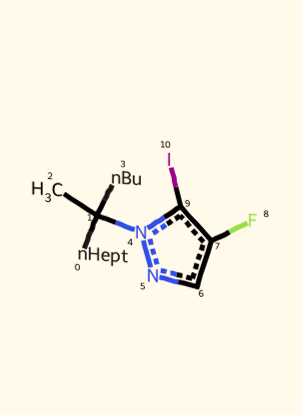 CCCCCCCC(C)(CCCC)n1ncc(F)c1I